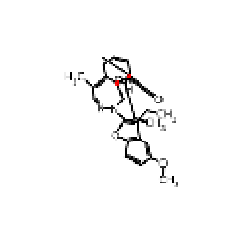 CCc1c(N2CC34OC(CC)C(=O)NC3C=CCC4=C(C)C=N2)oc2ccc(OC)cc12